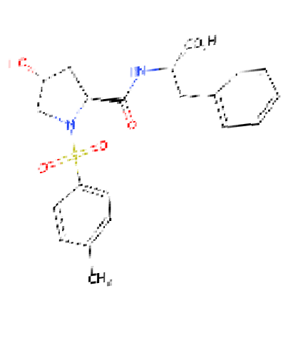 Cc1ccc(S(=O)(=O)N2C[C@H](O)C[C@H]2C(=O)N[C@@H](Cc2ccccc2)C(=O)O)cc1